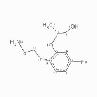 C[C@H](CO)Oc1cc(F)ccc1CCCN